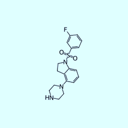 O=S(=O)(c1cccc(F)c1)N1CCc2c(N3CCNCC3)cccc21